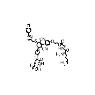 C[C@H](NC(=O)[C@@H](N)CCCN)C(=O)OCCOc1ccc(-c2c(C#N)c(SCc3csc(-c4ccc(Cl)cc4)n3)nc(N3CCCC3)c2C#N)cc1.O=C(O)C(F)(F)F.O=C(O)C(F)(F)F